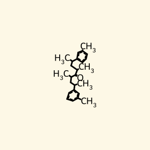 Cc1cccc(C(C)CC(C)C(=O)C(C)CC(C)c2cccc(C)c2)c1